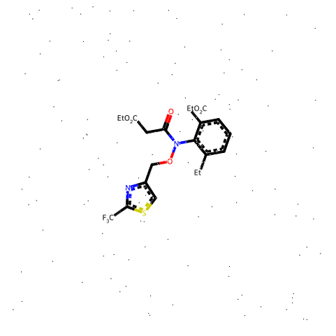 CCOC(=O)CC(=O)N(OCc1csc(C(F)(F)F)n1)c1c(CC)cccc1C(=O)OCC